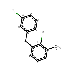 Cc1cccc(Cc2cccc(F)c2)c1F